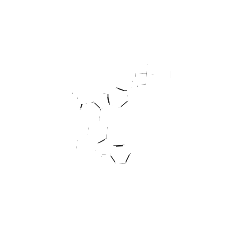 CCCCC(Cc1c[nH]c2ccccc12)c1c(C(N)=O)sc2cc(N3CC(C)(O)C3)ccc12